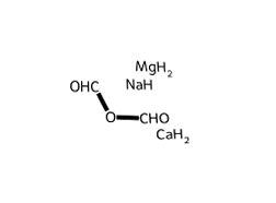 O=COC=O.[CaH2].[MgH2].[NaH]